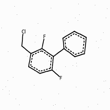 Fc1ccc(CCl)c(F)c1-c1ccccc1